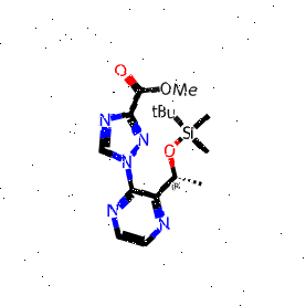 COC(=O)c1ncn(-c2nccnc2[C@@H](C)O[Si](C)(C)C(C)(C)C)n1